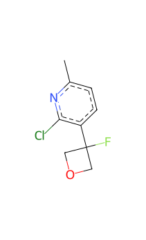 Cc1ccc(C2(F)COC2)c(Cl)n1